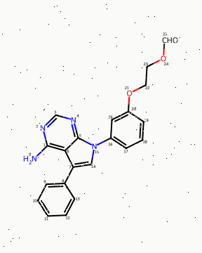 Nc1ncnc2c1c(-c1ccccc1)cn2-c1cccc(OCCOC=O)c1